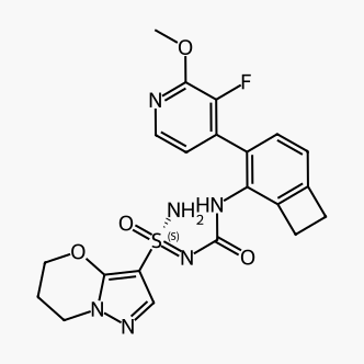 COc1nccc(-c2ccc3c(c2NC(=O)N=[S@](N)(=O)c2cnn4c2OCCC4)CC3)c1F